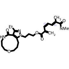 C=C(/C=C\C=C(/C)C(=O)NC)C(=O)OCCCn1nc(CC)c2c1CCCOCCCNC2=O